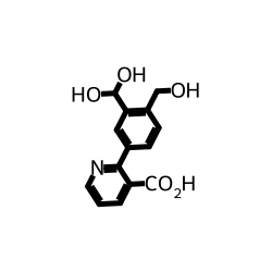 O=C(O)c1cccnc1-c1ccc(CO)c(C(O)O)c1